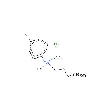 CCCCCCCCCCCC[N+](CC)(CC)c1ccc(C)cc1.[Cl-]